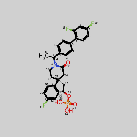 C[C@@H](c1ccc(-c2ccc(F)cc2F)cc1)N1CC[C@](CCOP(=O)(O)O)(c2ccc(F)cc2)CC1=O